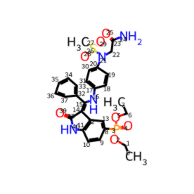 CCOP(=O)(OCC)c1ccc2c(c1)C(=C(Nc1ccc(N(CC(N)=O)S(C)(=O)=O)cc1)c1ccccc1)C(=O)N2